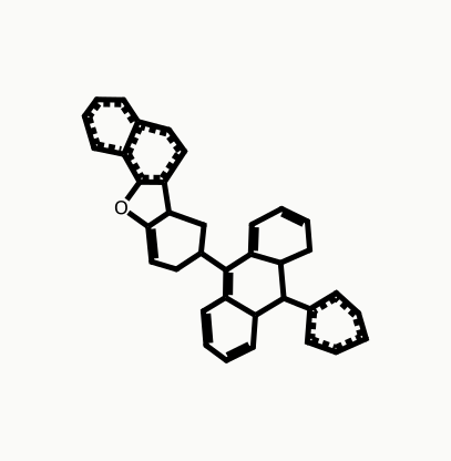 C1=CCC2C(=C1)C(C1CC=C3Oc4c(ccc5ccccc45)C3C1)=C1C=CC=CC1C2c1ccccc1